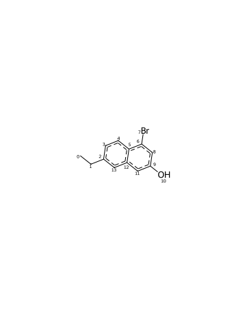 CCc1ccc2c(Br)cc(O)cc2c1